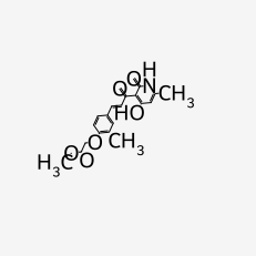 COC(=O)COc1ccc(/C=C/C(=O)c2c(O)cc(C)[nH]c2=O)cc1C